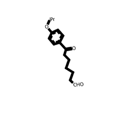 CC(C)Oc1ccc(C(=O)CCCCCC=O)cc1